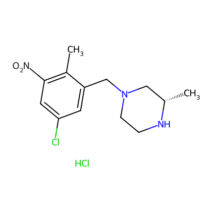 Cc1c(CN2CCN[C@@H](C)C2)cc(Cl)cc1[N+](=O)[O-].Cl